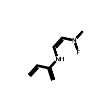 C=CC(=C)N/C=C\N(C)F